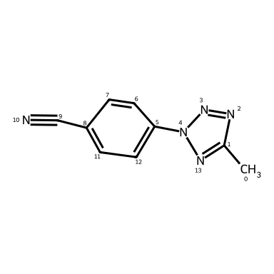 Cc1nnn(-c2ccc(C#N)cc2)n1